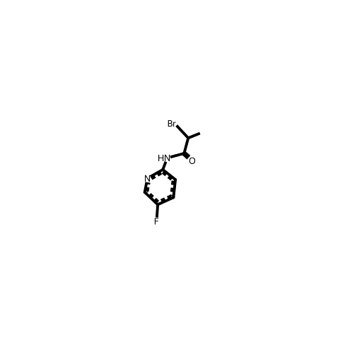 CC(Br)C(=O)Nc1ccc(F)cn1